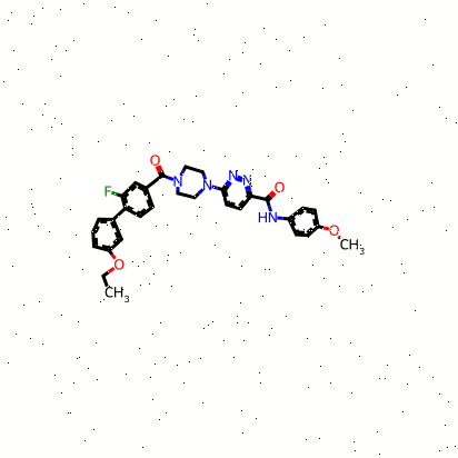 CCOc1cccc(-c2ccc(C(=O)N3CCN(c4ccc(C(=O)Nc5ccc(OC)cc5)nn4)CC3)cc2F)c1